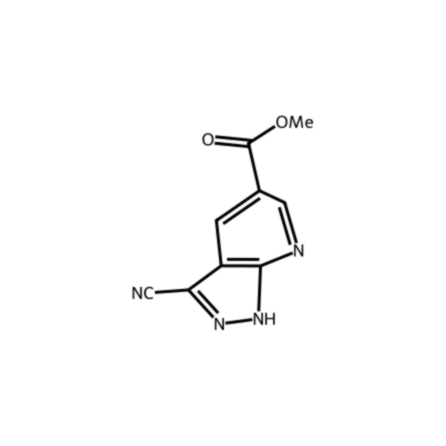 COC(=O)c1cnc2[nH]nc(C#N)c2c1